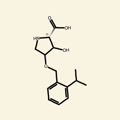 CC(C)c1ccccc1COC1CN[C@H](C(=O)O)C1O